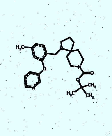 Cc1ccc(CN2CCCC23CCN(C(=O)OC(C)(C)C)CC3)c(Oc2cccnc2)c1